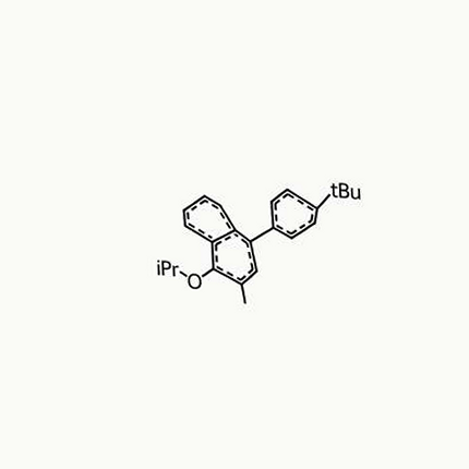 Cc1cc(-c2ccc(C(C)(C)C)cc2)c2ccccc2c1OC(C)C